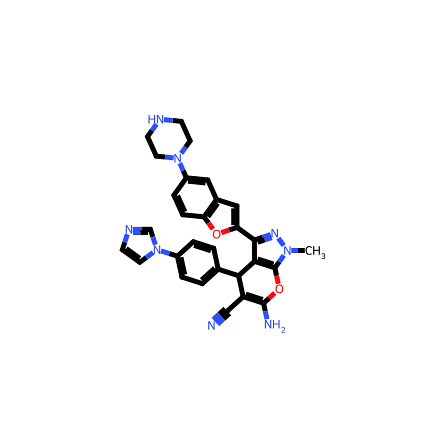 Cn1nc(-c2cc3cc(N4CCNCC4)ccc3o2)c2c1OC(N)=C(C#N)C2c1ccc(-n2ccnc2)cc1